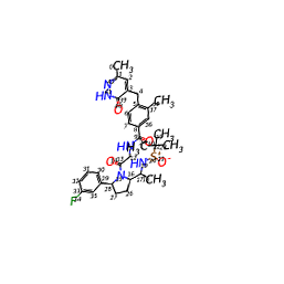 Cc1cc(Cc2ccc(C(=O)NCC(=O)N3[C@@H]([C@H](C)N[S+]([O-])C(C)(C)C)CC[C@H]3c3cccc(F)c3)cc2C)c(=O)[nH]n1